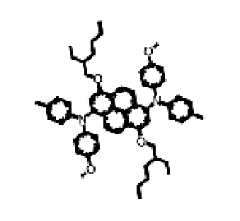 CCCCC(CC)COc1cc(N(c2ccc(C)cc2)c2ccc(OC)cc2)c2ccc3c(OCC(CC)CCCC)cc(N(c4ccc(C)cc4)c4ccc(OC)cc4)c4ccc1c2c34